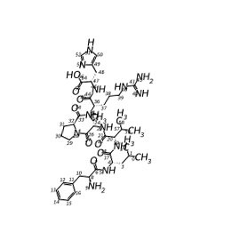 CC(C)C[C@H](NC(=O)[C@@H](N)Cc1ccccc1)C(=O)N[C@H](C(=O)N[C@@H](C)C(=O)N1CCC[C@H]1C(=O)N[C@@H](CCCNC(=N)N)C(=O)N[C@@H](Cc1c[nH]cn1)C(=O)O)C(C)C